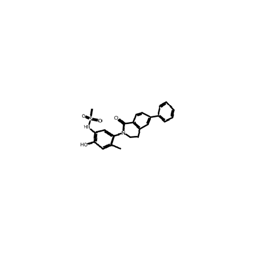 Cc1cc(O)c(NS(C)(=O)=O)cc1N1CCc2cc(-c3ccccc3)ccc2C1=O